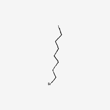 BrCCCCCCCI